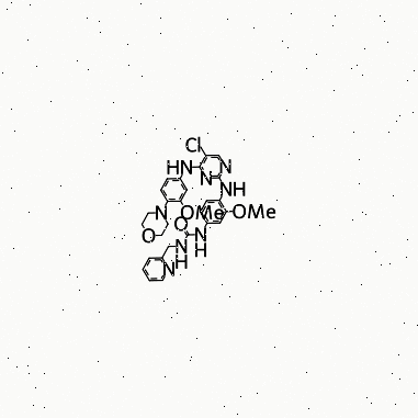 COc1cc(NC(=O)NCc2ccccn2)ccc1Nc1ncc(Cl)c(Nc2ccc(N3CCOCC3)c(OC)c2)n1